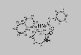 O=C(Cc1ccccc1)N[C@@H]1C(=O)NCCS[C@@H]1c1cccc2ccccc12